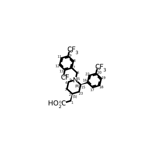 O=C(O)C[C@H]1CCN(Cc2cc(C(F)(F)F)ccc2C(F)(F)F)[C@@H](c2cccc(C(F)(F)F)c2)C1